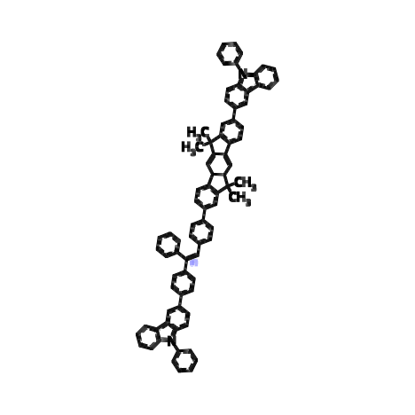 CC1(C)C2=CC3c4ccc(-c5ccc(/C=C(\c6ccccc6)c6ccc(-c7ccc8c(c7)c7ccccc7n8-c7ccccc7)cc6)cc5)cc4C(C)(C)C3C=C2c2ccc(-c3ccc4c(c3)c3ccccc3n4-c3ccccc3)cc21